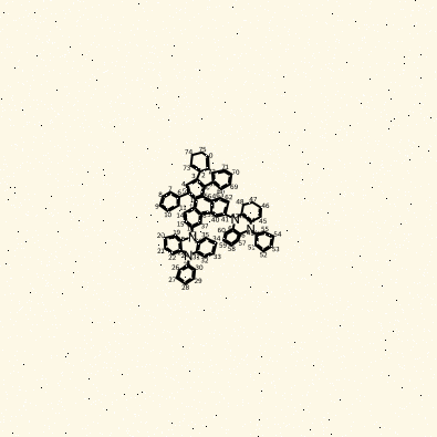 C1=CC(c2cc(-c3ccccc3)c3c4ccc(N5c6ccccc6N(c6ccccc6)c6ccccc65)cc4c4cc(N5C6=C(C=CCC6)N(c6ccccc6)c6ccccc65)ccc4c3c2-c2ccccc2)=CCC1